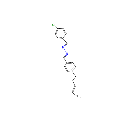 C/C=C/CCc1ccc(C=NN=Cc2ccc(Cl)cc2)cc1